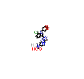 CN(C(=O)O)C1CCN(Cc2nc(-c3cn(CC4CCS(=O)(=O)CC4)c4c(Cl)cccc34)ns2)CC1